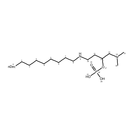 CCCCCCCCCCCCCCCCCCNCCC(CN(C)C)OP(=O)(O)O